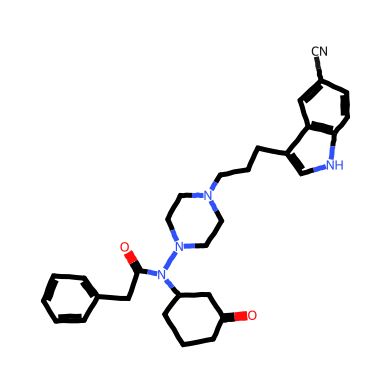 N#Cc1ccc2[nH]cc(CCCN3CCN(N(C(=O)Cc4ccccc4)C4CCCC(=O)C4)CC3)c2c1